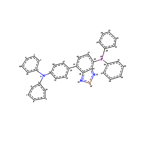 c1ccc(N(c2ccccc2)c2ccc(-c3ccc(P(c4ccccc4)c4ccccc4)c4nsnc34)cc2)cc1